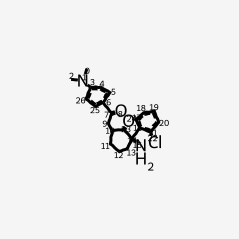 CN(C)c1ccc(C(=O)CC2CCCC(N)(c3ccccc3Cl)C2=O)cc1